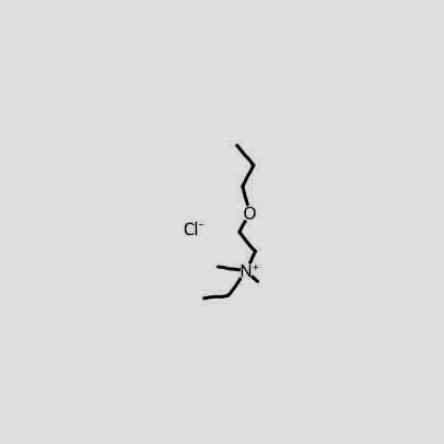 CCCOCC[N+](C)(C)CC.[Cl-]